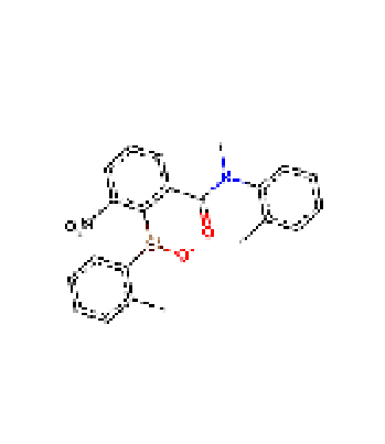 Cc1ccccc1N(C)C(=O)c1cccc([N+](=O)[O-])c1[S+]([O-])c1ccccc1C